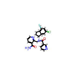 NC(=O)c1cccnc1CN(C(=O)c1cccnc1)[C@@H]1CCc2c(F)cc(Cl)cc21